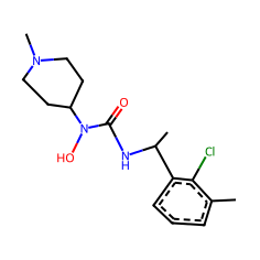 Cc1cccc(C(C)NC(=O)N(O)C2CCN(C)CC2)c1Cl